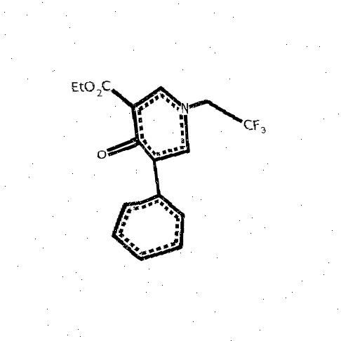 CCOC(=O)c1cn(CC(F)(F)F)cc(-c2ccccc2)c1=O